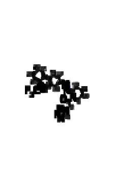 O=C(Cn1cnnn1)N1CCCCC1/N=N/c1ccc(-c2ccccc2OC(F)(F)F)c(Cl)c1